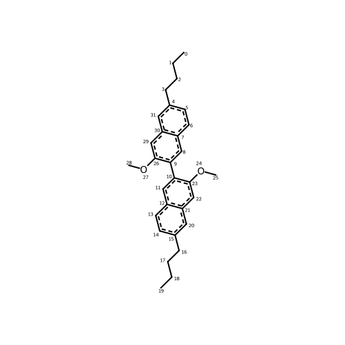 CCCCc1ccc2cc(-c3cc4ccc(CCCC)cc4cc3OC)c(OC)cc2c1